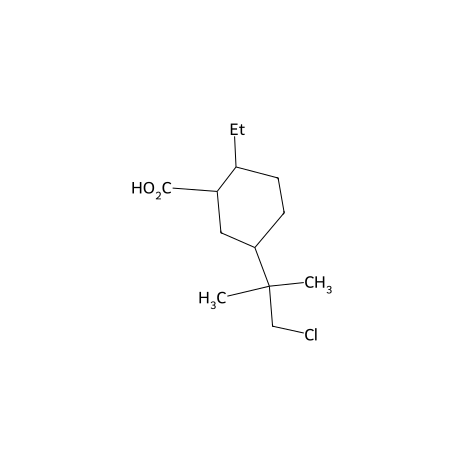 CCC1CCC(C(C)(C)CCl)CC1C(=O)O